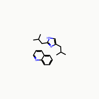 CC(C)Cc1c[nH]c(CC(C)C)n1.c1ccc2ncccc2c1